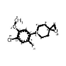 COc1cc(N2CCC3(CC2)CO3)c(F)cc1Cl